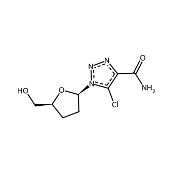 NC(=O)c1nnn([C@H]2CC[C@@H](CO)O2)c1Cl